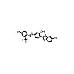 Oc1ccc(/N=N/c2ccc(-c3nc4ccc(O)cc4s3)c(O)c2)c(C(F)(F)F)c1